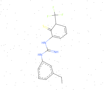 CCc1cccc(NC(=N)NC2=CC=CC(C(F)(F)F)C2=S)c1